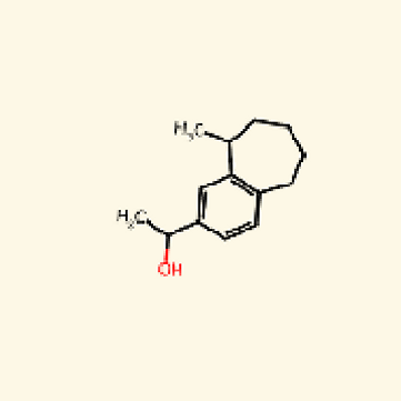 CC(O)c1ccc2c(c1)C(C)CCCC2